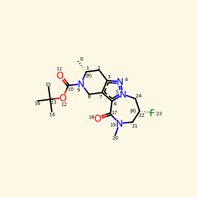 C[C@@H]1Cc2nn3c(c2CN1C(=O)OC(C)(C)C)C(=O)N(C)C[C@@H](F)C3